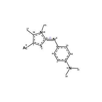 CC(=O)c1s/c(=N\c2ccc(N(C)C)cc2)n(C)c1C